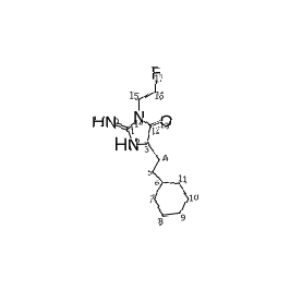 N=C1NC(CCC2CCCCC2)C(=O)N1CCF